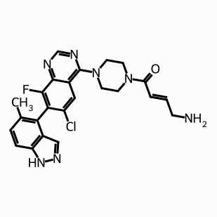 Cc1ccc2[nH]ncc2c1-c1c(Cl)cc2c(N3CCN(C(=O)C=CCN)CC3)ncnc2c1F